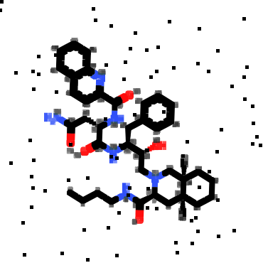 CCCCNC(=O)[C@@H]1C[C@@H]2CCCC[C@@H]2CN1C[C@@H](O)[C@H](Cc1ccccc1)NC(=O)[C@H](CC(N)=O)NC(=O)c1ccc2ccccc2n1